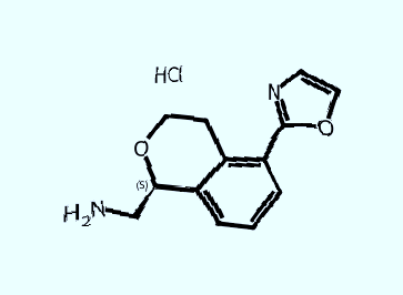 Cl.NC[C@H]1OCCc2c(-c3ncco3)cccc21